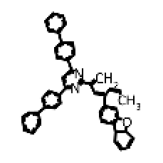 C=C(/C=C(\C=C/C)c1ccc2c(c1)OC1C=CC=CC21)c1nc(-c2ccc(-c3ccccc3)cc2)cc(-c2ccc(-c3ccccc3)cc2)n1